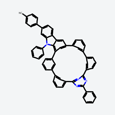 N#Cc1ccc(-c2ccc3c4cc5cc(c6cccc(c6)c6cccc(c6)c6nc(-c7ccccc7)nc(n6)c6cccc(c6)c6cccc5c6)c4n(-c4ccccc4)c3c2)cc1